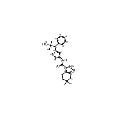 CC1(C)CCc2c(C(=O)Nc3cnn(C(c4ccccc4)C(C)(C)O)c3)n[nH]c2C1